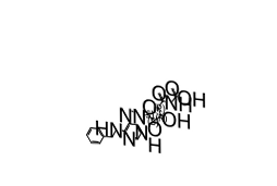 O=C(O)NC(=O)[C@@H]1O[C@H](n2cnc3c(NCc4ccccc4)ncnc32)[C@@H](O)[C@H]1O